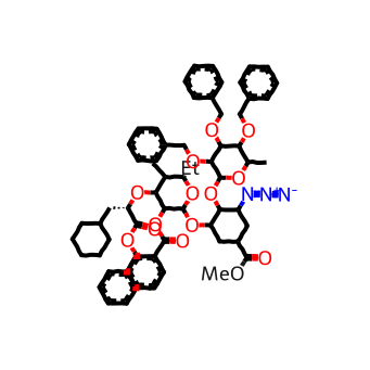 CCC1OC(OC2CC(C(=O)OC)CC(N=[N+]=[N-])C2OC2OC(C)C(OCc3ccccc3)C(OCc3ccccc3)C2OCc2ccccc2)C(OC(=O)c2ccccc2)C(O[C@@H](CC2CCCCC2)C(=O)OCc2ccccc2)C1C